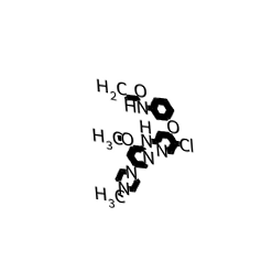 C=CC(=O)Nc1cccc(Oc2cc(Nc3ncc(N4CCN(C)CC4)cc3OC)ncc2Cl)c1